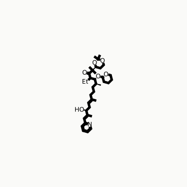 CCC(C(=O)C(C)(C)[C@@H]1CCOC(C)(C)O1)[C@@H](OC1CCCCO1)[C@@H](C)CCC/C(C)=C/C[C@H](O)/C(C)=C/c1ccccn1